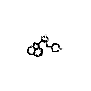 c1cc2c3c(c1)c(-c1nnnn1CC1CCNCC1)cn3CCC2